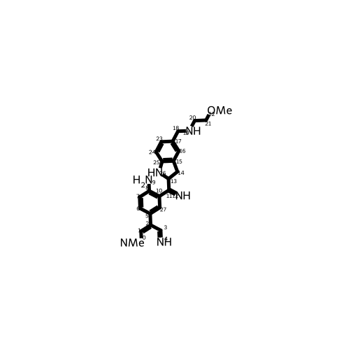 CN/C=C(\C=N)c1ccc(N)c(C(=N)C2Cc3cc(CNCCOC)ccc3N2)c1